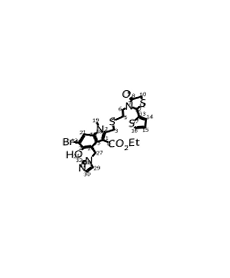 CCOC(=O)c1c(CSCCN2C(=O)CSC2c2cccs2)n(C)c2cc(Br)c(O)c(Cn3ccnc3)c12